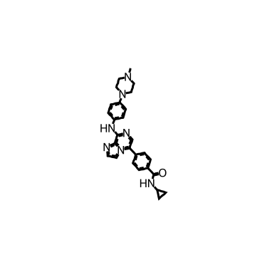 CN1CCN(c2ccc(Nc3ncc(-c4ccc(C(=O)NC5CC5)cc4)n4ccnc34)cc2)CC1